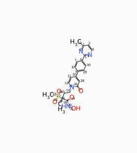 Cc1ccnc(-c2ccc(-c3ccn(CC[C@](C)(C(=O)NO)S(C)(=O)=O)c(=O)c3)cc2)n1